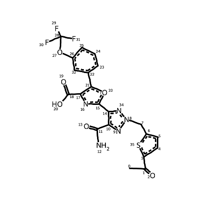 CC(=O)c1ccc(Cn2nc(C(N)=O)c(-c3nc(C(=O)O)c(-c4cccc(OC(F)(F)F)c4)o3)n2)s1